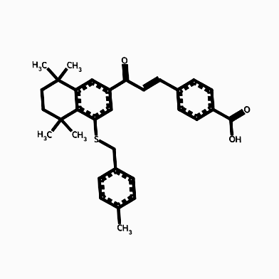 Cc1ccc(CSc2cc(C(=O)/C=C/c3ccc(C(=O)O)cc3)cc3c2C(C)(C)CCC3(C)C)cc1